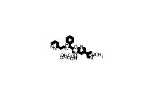 Cn1cc(-c2cnc3c(c2)NC[C@@H]([C@H](NCCc2cccnn2)c2ccccc2)O3)cn1.O=CO.O=CO